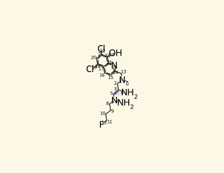 CN(C/C(N)=C/N(N)CCCCF)Cc1ccc2c(Cl)cc(Cl)c(O)c2n1